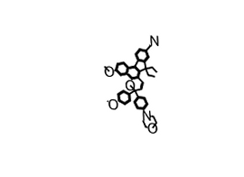 CCC1(CC)c2cc(C#N)ccc2-c2c1c1c(c3cc(OC)ccc23)OC(c2ccc(OC)cc2)(c2ccc(N3CCOCC3)cc2)C=C1